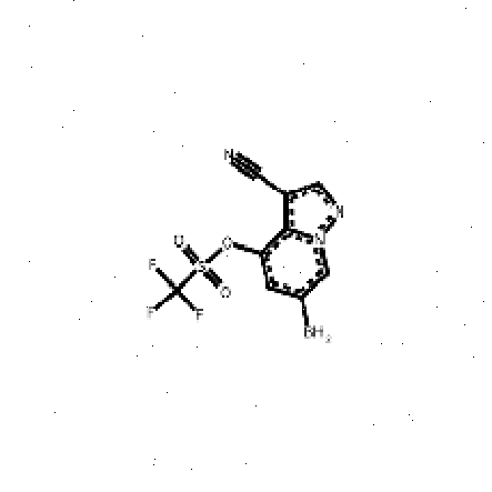 Bc1cc(OS(=O)(=O)C(F)(F)F)c2c(C#N)cnn2c1